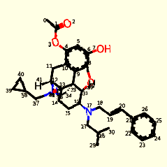 CC(=O)Oc1cc(O)c2c3c1C[C@@H]1[C@@H]4CC[C@H](N(CC=Cc5ccccc5)CC(C)C)[C@H](O2)[C@]34CCN1CC1CC1